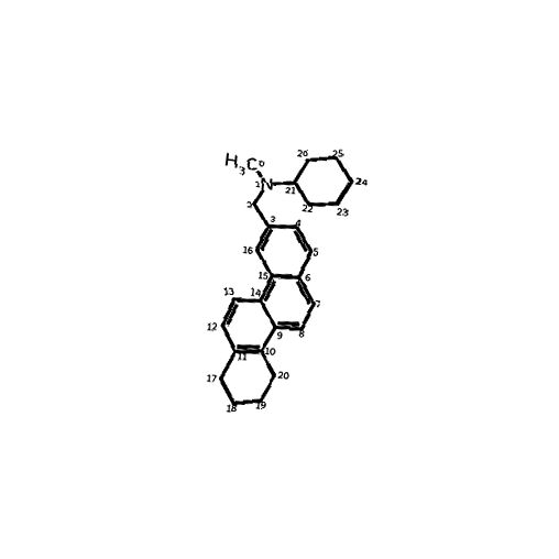 CN(Cc1ccc2ccc3c4c(ccc3c2c1)CCCC4)C1CCCCC1